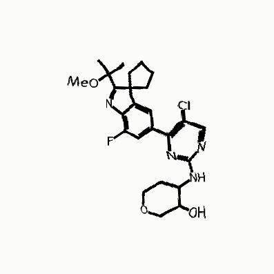 COC(C)(C)C1=Nc2c(F)cc(-c3nc(NC4CCOCC4O)ncc3Cl)cc2C12CCCC2